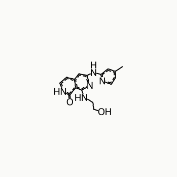 Cc1ccnc(Nc2cc3cc[nH]c(=O)c3c(NCCO)n2)c1